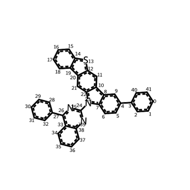 c1ccc(-c2ccc3c(c2)c2cc4sc5ccccc5c4cc2n3-c2nc(-c3ccccc3)c3ccccc3n2)cc1